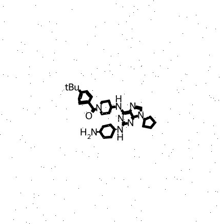 CC(C)(C)c1ccc(C(=O)N2CCC(Nc3nc(N[C@H]4CC[C@H](N)CC4)nc4c3ncn4C3CCCC3)CC2)cc1